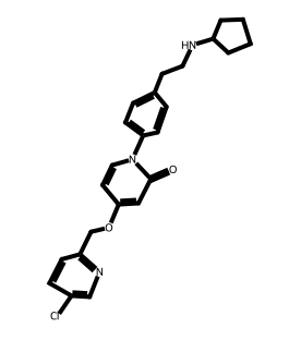 O=c1cc(OCc2ccc(Cl)cn2)ccn1-c1ccc(CCNC2CCCC2)cc1